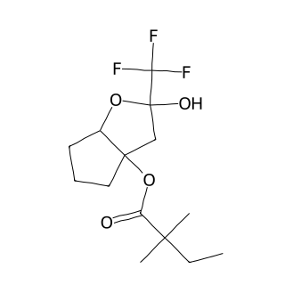 CCC(C)(C)C(=O)OC12CCCC1OC(O)(C(F)(F)F)C2